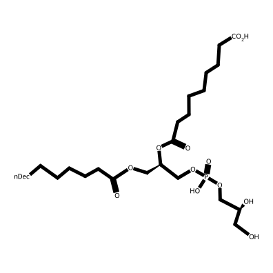 CCCCCCCCCCCCCCCC(=O)OC[C@H](COP(=O)(O)OC[C@@H](O)CO)OC(=O)CCCCCCCC(=O)O